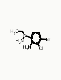 CCN(N)c1ccc(Br)c(Cl)c1N